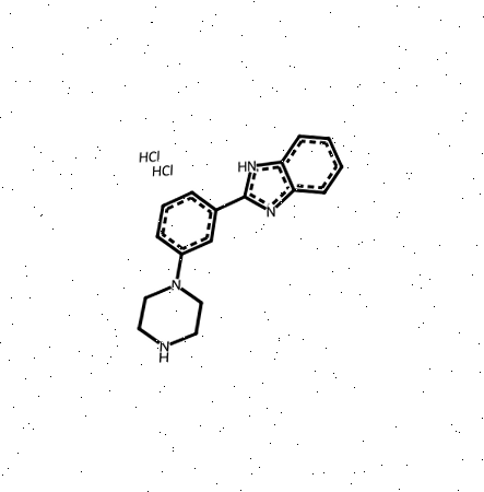 Cl.Cl.c1cc(-c2nc3ccccc3[nH]2)cc(N2CCNCC2)c1